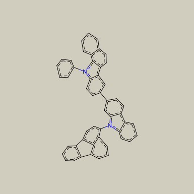 c1ccc(-n2c3ccc(-c4ccc5c6ccccc6n(-c6ccc7c8c(cccc68)-c6ccccc6-7)c5c4)cc3c3ccc4ccccc4c32)cc1